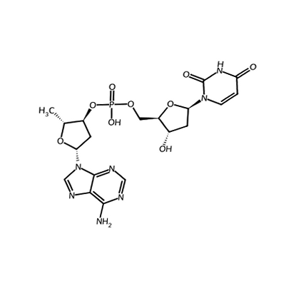 C[C@H]1O[C@@H](n2cnc3c(N)ncnc32)C[C@@H]1OP(=O)(O)OC[C@H]1O[C@@H](n2ccc(=O)[nH]c2=O)C[C@@H]1O